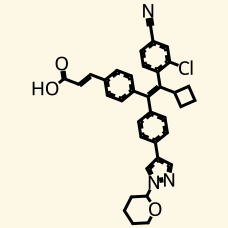 N#Cc1ccc(/C(=C(\c2ccc(/C=C/C(=O)O)cc2)c2ccc(-c3cnn(C4CCCCO4)c3)cc2)C2CCC2)c(Cl)c1